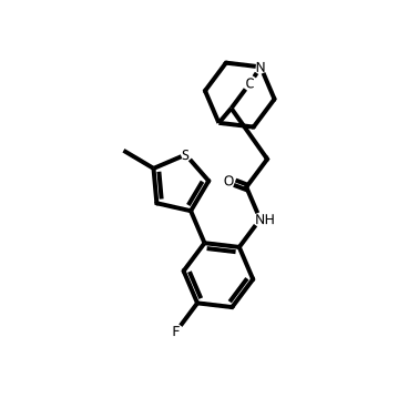 Cc1cc(-c2cc(F)ccc2NC(=O)CC2CN3CCC2CC3)cs1